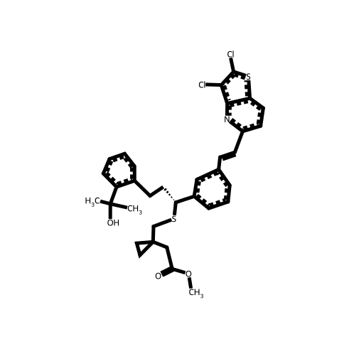 COC(=O)CC1(CS[C@H](CCc2ccccc2C(C)(C)O)c2cccc(C=Cc3ccc4sc(Cl)c(Cl)c4n3)c2)CC1